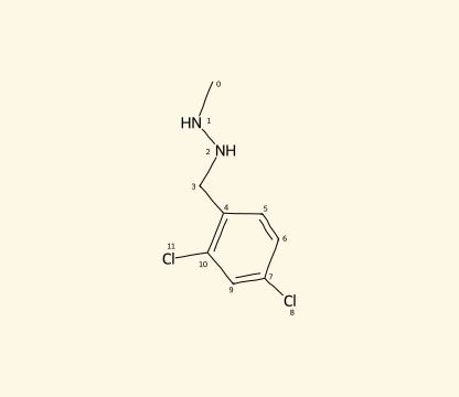 CNNCc1ccc(Cl)cc1Cl